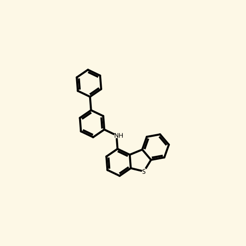 c1ccc(-c2cccc(Nc3cccc4sc5ccccc5c34)c2)cc1